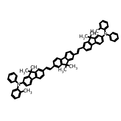 Cc1ccccc1N(c1ccccc1)c1ccc2c(c1)C(C)(C)c1cc(/C=C/c3ccc4c(c3)C(C)(C)c3cc(/C=C/c5ccc6c(c5)C(C)(C)c5cc(N(c7ccccc7)c7ccccc7C)ccc5-6)ccc3-4)ccc1-2